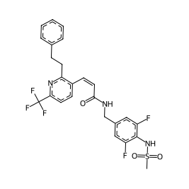 CS(=O)(=O)Nc1c(F)cc(CNC(=O)/C=C\c2ccc(C(F)(F)F)nc2CCc2ccccc2)cc1F